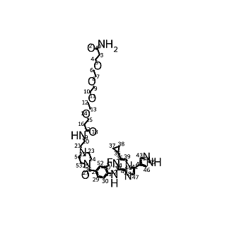 NC(=O)CCOCCOCCOCCOCCC(=O)NCCN1CCN(C(=O)c2ccc(Nc3nc(C4CC4)cn4c(-c5cn[nH]c5)cnc34)c(F)c2)CC1